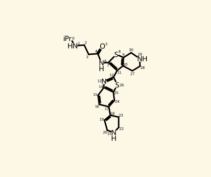 CC(C)NCCC(=O)Nc1sc2c(c1-c1nc3ccc(C4=CCNCC4)cc3s1)CCNC2